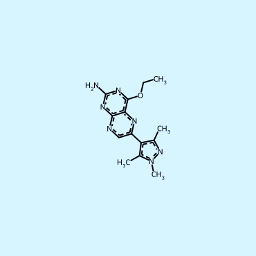 CCOc1nc(N)nc2ncc(-c3c(C)nn(C)c3C)nc12